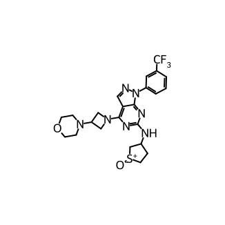 [O-][S+]1CCC(Nc2nc(N3CC(N4CCOCC4)C3)c3cnn(-c4cccc(C(F)(F)F)c4)c3n2)C1